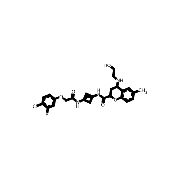 Cc1ccc2c(c1)C(NCCO)CC(C(=O)NC13CC(NC(=O)COc4ccc(Cl)c(F)c4)(C1)C3)O2